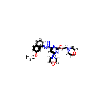 COc1ccc2c(c1)/C(=N/Nc1cc(N3CCOCC3)nc(OCCN3CCOCC3)n1)CCC2